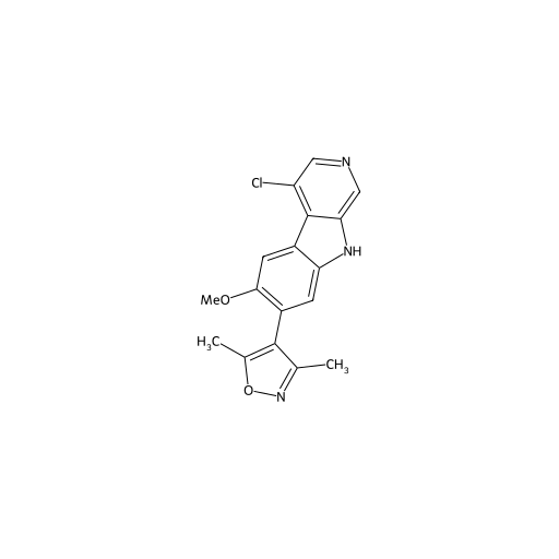 COc1cc2c(cc1-c1c(C)noc1C)[nH]c1cncc(Cl)c12